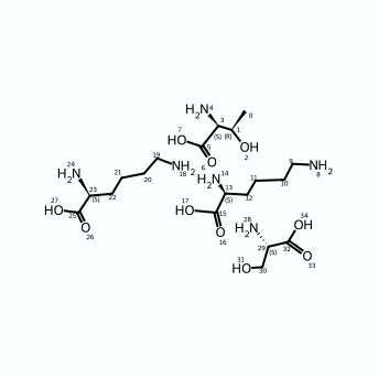 C[C@@H](O)[C@H](N)C(=O)O.NCCCC[C@H](N)C(=O)O.NCCCC[C@H](N)C(=O)O.N[C@@H](CO)C(=O)O